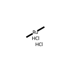 Cl.Cl.[CH3][Ru][CH3]